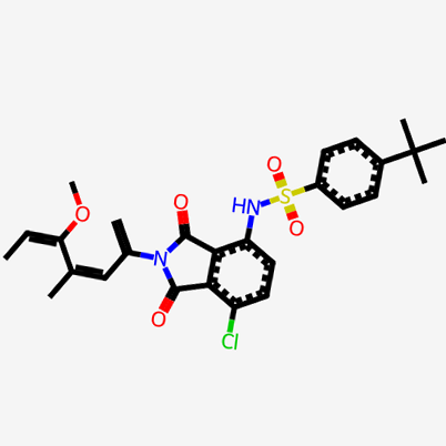 C=C(/C=C(C)\C(=C/C)OC)N1C(=O)c2c(Cl)ccc(NS(=O)(=O)c3ccc(C(C)(C)C)cc3)c2C1=O